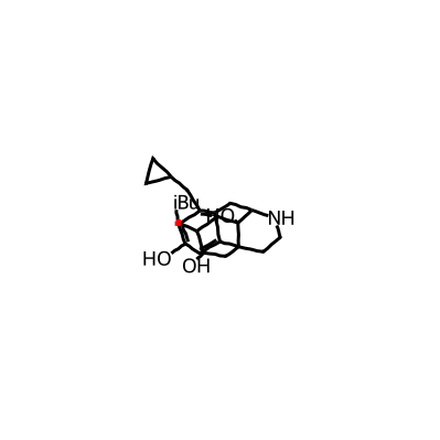 CCC(C)CC1CC2(O)C3Cc4c(CC5CC5)cc(O)cc4C2(CCN3)CC1O